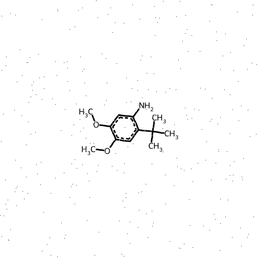 COc1cc(N)c(C(C)(C)C)cc1OC